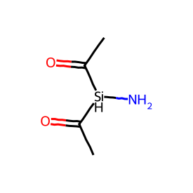 CC(=O)[SiH](N)C(C)=O